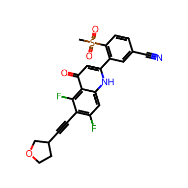 CS(=O)(=O)c1ccc(C#N)cc1-c1cc(=O)c2c(F)c(C#CC3CCOC3)c(F)cc2[nH]1